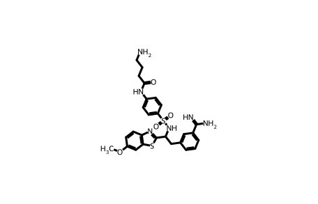 COc1ccc2nc(C(Cc3cccc(C(=N)N)c3)NS(=O)(=O)c3ccc(NC(=O)CCCN)cc3)sc2c1